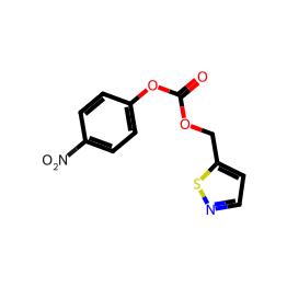 O=C(OCc1ccns1)Oc1ccc([N+](=O)[O-])cc1